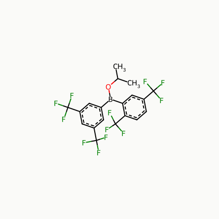 CC(C)OB(c1cc(C(F)(F)F)cc(C(F)(F)F)c1)c1cc(C(F)(F)F)ccc1C(F)(F)F